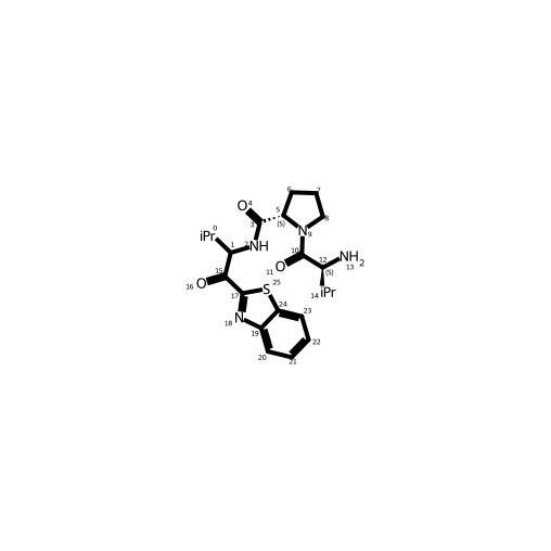 CC(C)C(NC(=O)[C@@H]1CCCN1C(=O)[C@@H](N)C(C)C)C(=O)c1nc2ccccc2s1